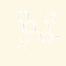 Cn1nnc(-c2nc3ccccc3nc2OC(C)(C)C)c1-c1ccccc1